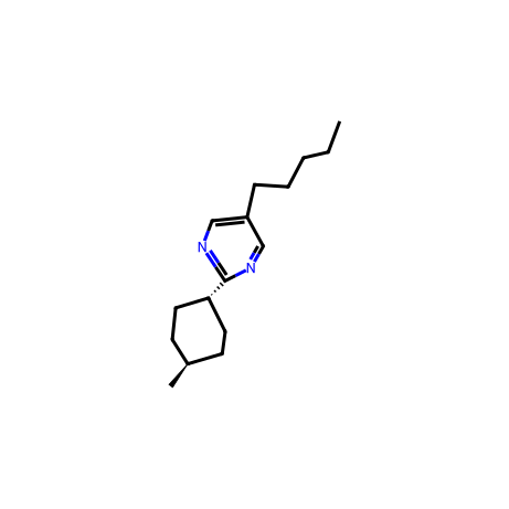 CCCCCc1cnc([C@H]2CC[C@H](C)CC2)nc1